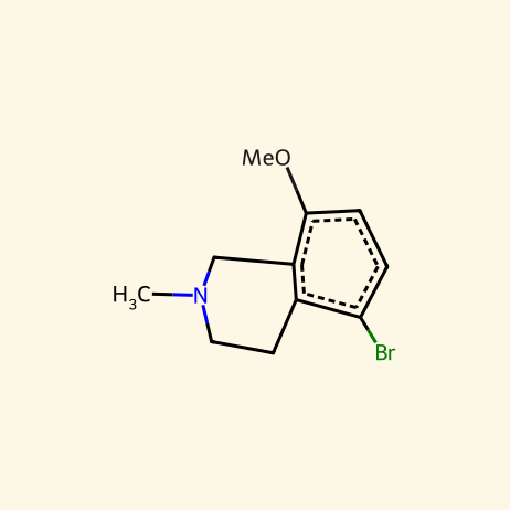 COc1ccc(Br)c2c1CN(C)CC2